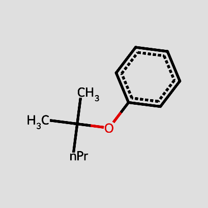 [CH2]CCC(C)(C)Oc1ccccc1